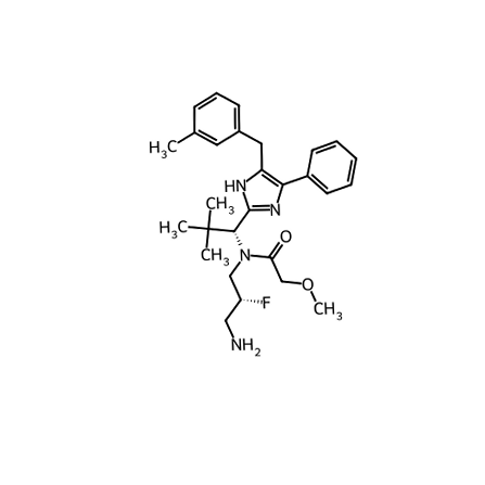 COCC(=O)N(C[C@H](F)CN)[C@@H](c1nc(-c2ccccc2)c(Cc2cccc(C)c2)[nH]1)C(C)(C)C